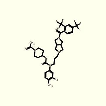 CC(=O)N1CCC(OC(=O)N(CCCN2CC3CN(C(=O)c4ccc(C(F)(F)F)cc4C(F)(F)F)CC3C2)c2ccc(C)c(Cl)c2)CC1